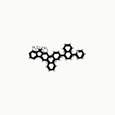 CC1(C)c2ccccc2-c2cc3c4ccccc4c4cc(-c5ccc(-c6ccccn6)c6ccccc56)ccc4c3cc21